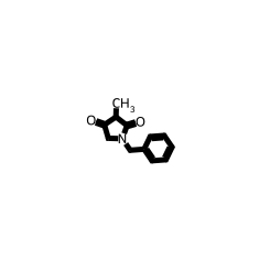 CC1C(=O)CN(Cc2ccccc2)C1=O